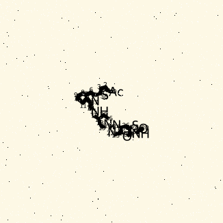 CC(=O)c1ccc(-c2cc3ccccc3c(CNCC3CCN(c4nccc(C=C5SC(=O)NC5=O)n4)CC3)n2)s1